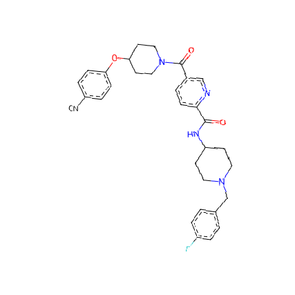 [C-]#[N+]c1ccc(OC2CCN(C(=O)c3ccc(C(=O)NC4CCN(Cc5ccc(F)cc5)CC4)nc3)CC2)cc1